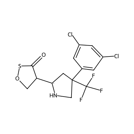 O=C1SOCC1[C]1CC(c2cc(Cl)cc(Cl)c2)(C(F)(F)F)CN1